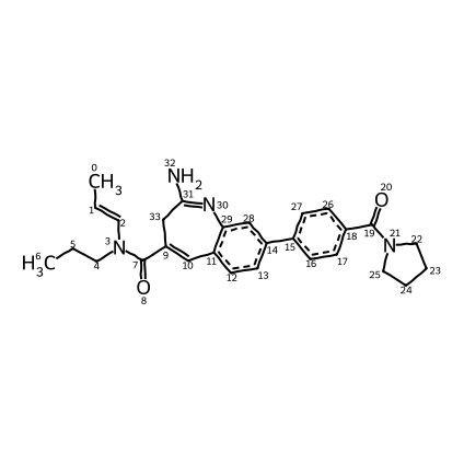 CC=CN(CCC)C(=O)C1=Cc2ccc(-c3ccc(C(=O)N4CCCC4)cc3)cc2N=C(N)C1